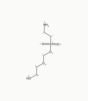 NCCS(=O)(=O)OCOCCO